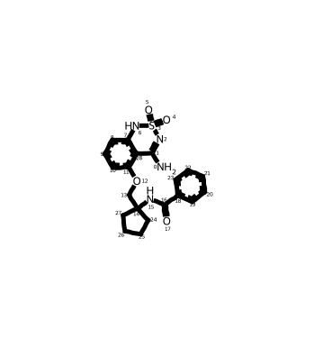 NC1=NS(=O)(=O)Nc2cccc(OCC3(NC(=O)c4ccccc4)CCCC3)c21